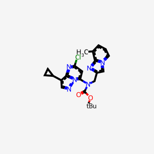 Cc1cccn2cc(CN(C(=O)OC(C)(C)C)c3cc(Cl)nc4c(C5CC5)cnn34)nc12